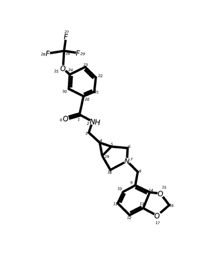 O=C(NCC1C2CN(Cc3cccc4c3OCO4)CC12)c1cccc(OC(F)(F)F)c1